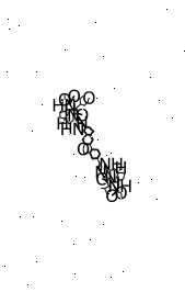 COC(=O)N[C@H](C(=O)N1[C@H](c2ncc(-c3ccc4c(c3)COc3cc5c(ccc6nc([C@@H]7C[C@@H]8CCC[C@@H]8N7C(=O)[C@@H](NC(=O)OC)C7CCOCC7)[nH]c65)cc3-4)[nH]2)C[C@@H]2CCC[C@@H]21)C(C)C